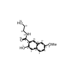 COc1ccc2cc(O)c(C(=O)NCCO)cc2c1